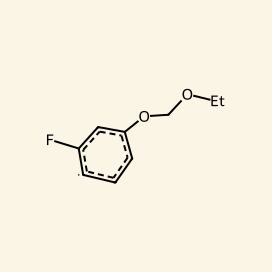 CCOCOc1cc[c]c(F)c1